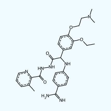 CCOc1cc(C(Nc2ccc(C(=N)N)cc2)C(=O)NNC(=O)c2ncccc2C)ccc1OCCN(C)C